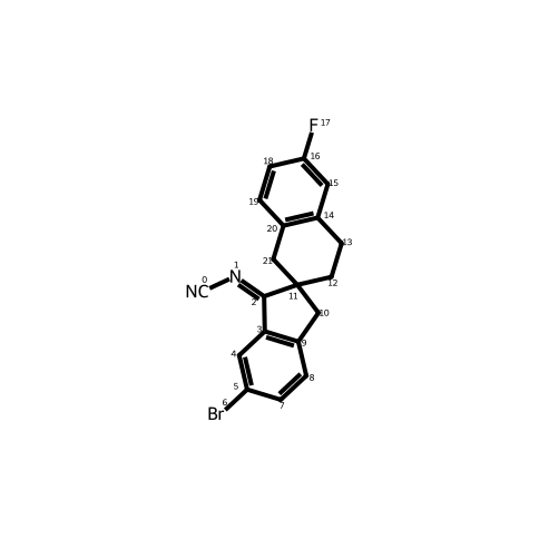 N#CN=C1c2cc(Br)ccc2CC12CCc1cc(F)ccc1C2